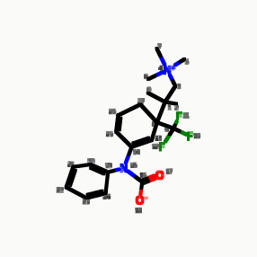 CC(C)(C[N+](C)(C)C)C1(C(F)(F)F)C=C(N(C(=O)[O-])c2ccccc2)C=CC1